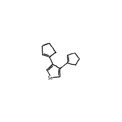 C1=C(c2c[se]cc2C2=CCCC2)CCC1